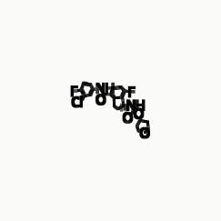 O=C(N[C@H]1CCc2c(C(=O)Nc3ccc(F)c(Cl)c3)ccc(F)c21)OC1CCOCC1